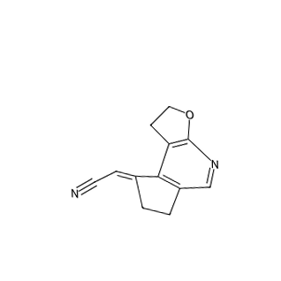 N#CC=C1CCc2cnc3c(c21)CCO3